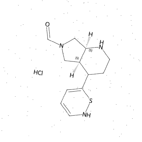 Cl.O=CN1C[C@@H]2C(C3=CC=CNS3)CCN[C@@H]2C1